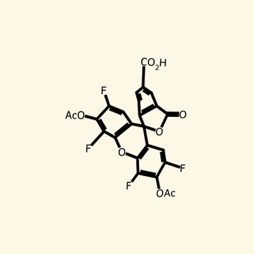 CC(=O)Oc1c(F)cc2c(c1F)Oc1c(cc(F)c(OC(C)=O)c1F)C21OC(=O)c2cc(C(=O)O)ccc21